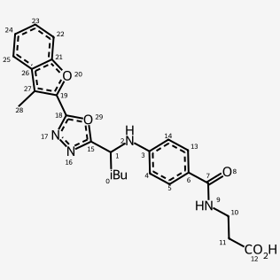 CCC(C)C(Nc1ccc(C(=O)NCCC(=O)O)cc1)c1nnc(-c2oc3ccccc3c2C)o1